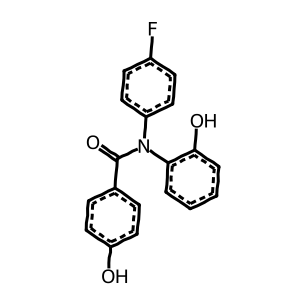 O=C(c1ccc(O)cc1)N(c1ccc(F)cc1)c1ccccc1O